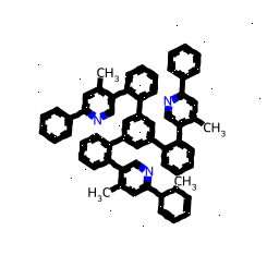 Cc1cc(-c2ccccc2)ncc1-c1ccccc1-c1cc(-c2ccccc2-c2cnc(-c3ccccc3)cc2C)cc(-c2ccccc2-c2cnc(C3C=CC=CC3C)cc2C)c1